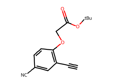 C#Cc1cc(C#N)ccc1OCC(=O)OC(C)(C)C